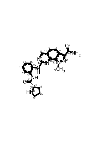 Cn1nc(C(N)=O)c2ccc3cnc(Nc4ccccc4NC(=O)[C@@H]4CCCN4)nc3c21